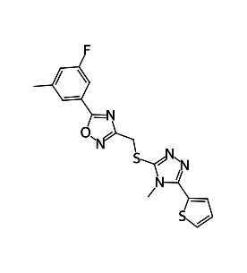 Cc1cc(F)cc(-c2nc(CSc3nnc(-c4cccs4)n3C)no2)c1